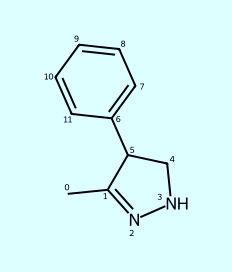 CC1=NNCC1c1ccccc1